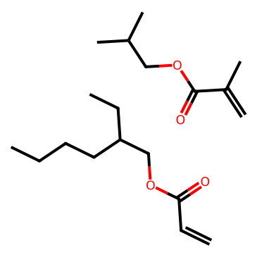 C=C(C)C(=O)OCC(C)C.C=CC(=O)OCC(CC)CCCC